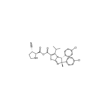 CC(C)C1=C(C(=O)OC(=O)[C@H]2NCC[C@@H]2C#N)SC2=N[C@@](C)(c3ccc(Cl)cc3)[C@@H](c3ccc(Cl)cc3)N21